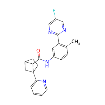 Cc1ccc(NC(=O)C2C3CCC2(c2ccccn2)C3)cc1-c1ncc(F)cn1